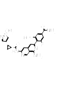 Cc1cc(C(N)=O)cc(F)c1-c1cc2cc(NC(=O)[C@H]3C[C@@H]3c3cnn(C)c3)ncc2c(N)n1